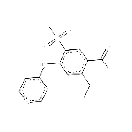 CCc1cc(Nc2ccncc2)c(S(C)(=O)=O)cc1C(=O)Cl